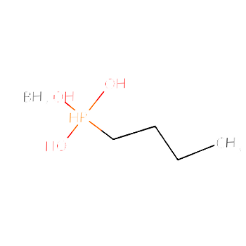 B.CCCC[PH](O)(O)O